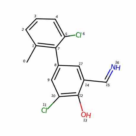 Cc1cccc(Cl)c1-c1cc(Cl)c(O)c(C=N)c1